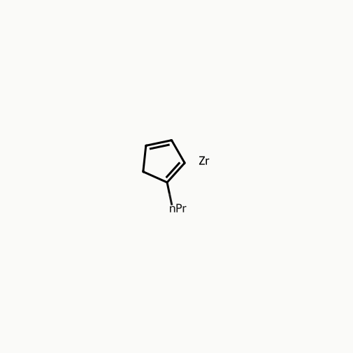 CCCC1=CC=CC1.[Zr]